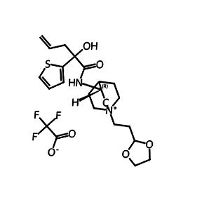 C=CCC(O)(C(=O)N[C@H]1C[N+]2(CCC3OCCO3)CCC1CC2)c1cccs1.O=C([O-])C(F)(F)F